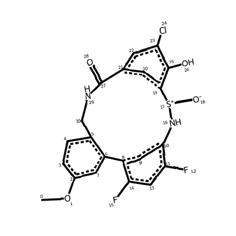 COc1ccc2c(c1)-c1cc(c(F)cc1F)N[S+]([O-])c1cc(cc(Cl)c1O)C(=O)NC2